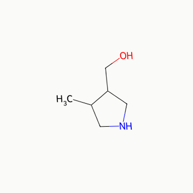 CC1CNCC1CO